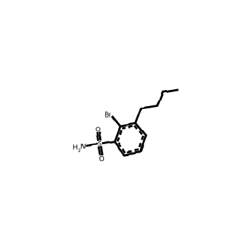 CCCCc1cccc(S(N)(=O)=O)c1Br